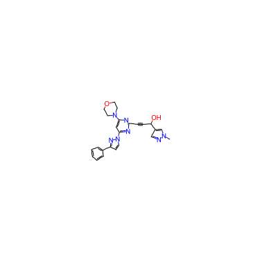 Cn1cc(C(O)C#Cc2nc(N3CCOCC3)cc(-n3ccc(-c4ccccc4)n3)n2)cn1